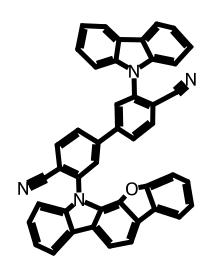 N#Cc1ccc(-c2ccc(C#N)c(-n3c4ccccc4c4ccc5c6ccccc6oc5c43)c2)cc1-n1c2ccccc2c2ccccc21